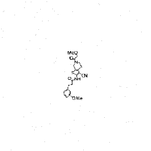 COCC(=O)N1CCc2c(sc(NC(=O)CCc3cccc(OC)c3)c2C#N)C1